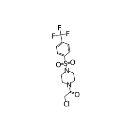 O=C(CCl)N1CCN(S(=O)(=O)c2ccc(C(F)(F)F)cc2)CC1